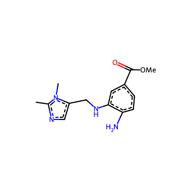 COC(=O)c1ccc(N)c(NCc2cnc(C)n2C)c1